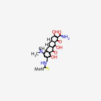 CNC(=S)NCc1cc(N(C)C)c2c(c1O)C(=O)C1=C(O)C3C(=O)C(C(N)=O)=C(O)C[C@@H]3C[C@@H]1C2